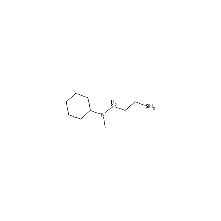 CN([SiH2]CC[SiH3])C1CCCCC1